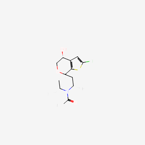 C[C@@H]1C[C@]2(C[C@H](C)N1C(=O)C(F)(F)F)OC[C@@H](O)c1cc(Cl)sc12